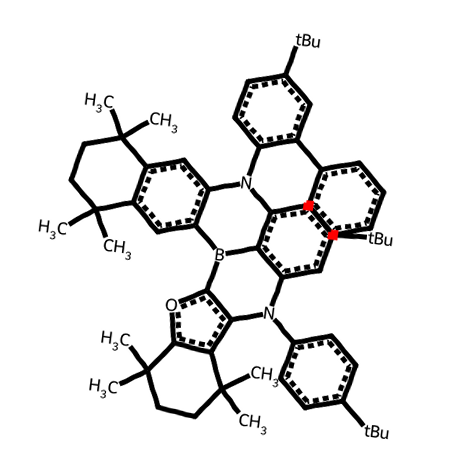 CC(C)(C)c1ccc(N2c3cc(C(C)(C)C)cc4c3B(c3cc5c(cc3N4c3ccc(C(C)(C)C)cc3-c3ccccc3)C(C)(C)CCC5(C)C)c3oc4c(c32)C(C)(C)CCC4(C)C)cc1